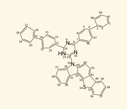 c1ccc(-c2ccc(C3=NC(c4ccc(-c5ccccc5)cc4)NC(n4c5ccccc5c5c6sc7ccccc7c6ccc54)=N3)cc2)cc1